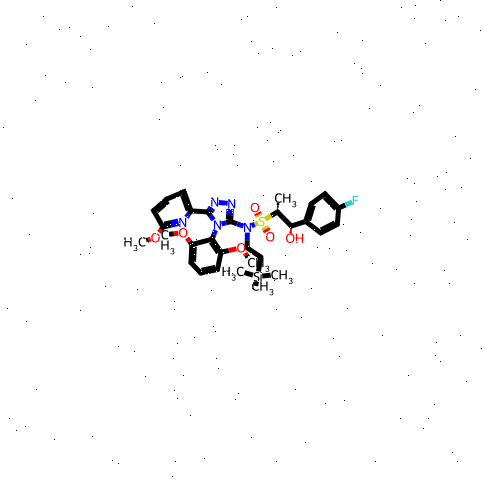 COc1cccc(-c2nnc(N(CC[Si](C)(C)C)S(=O)(=O)[C@H](C)[C@@H](O)c3ccc(F)cc3)n2-c2c(OC)cccc2OC)n1